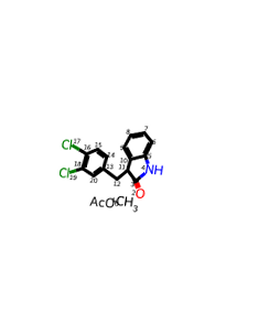 COC(C)=O.O=C1Nc2ccccc2C1Cc1ccc(Cl)c(Cl)c1